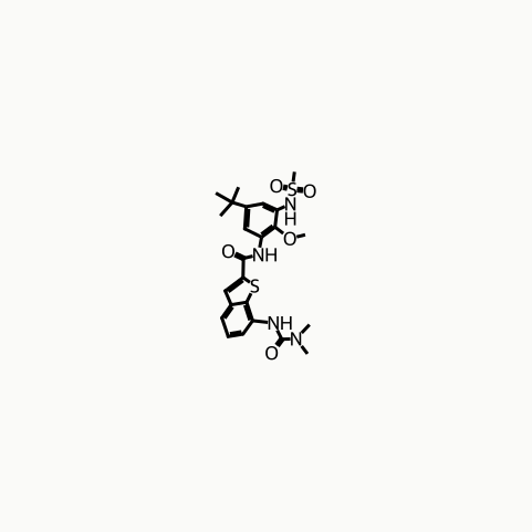 COc1c(NC(=O)c2cc3cccc(NC(=O)N(C)C)c3s2)cc(C(C)(C)C)cc1NS(C)(=O)=O